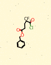 O=C(CCC(C(=O)Cl)C(F)(F)F)OCc1ccccc1